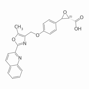 Cc1oc(-c2ccc3ccccc3n2)nc1COc1ccc(C2O[C@@H]2C(=O)O)cc1